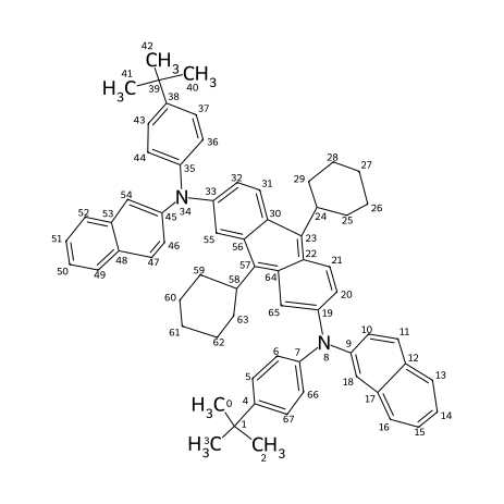 CC(C)(C)c1ccc(N(c2ccc3ccccc3c2)c2ccc3c(C4CCCCC4)c4ccc(N(c5ccc(C(C)(C)C)cc5)c5ccc6ccccc6c5)cc4c(C4CCCCC4)c3c2)cc1